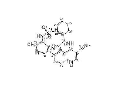 CS(=O)(=O)Nc1cc(-c2ccc3ncc(C#N)c(NC(C#N)c4ccccc4)c3c2)cnc1Cl